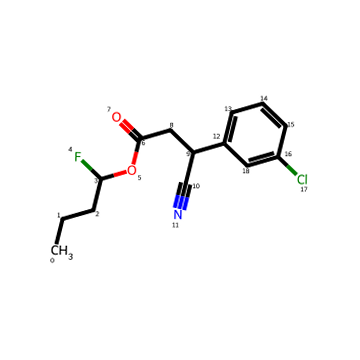 CCCC(F)OC(=O)CC(C#N)c1cccc(Cl)c1